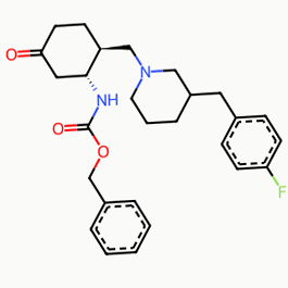 O=C1CC[C@@H](CN2CCCC(Cc3ccc(F)cc3)C2)[C@H](NC(=O)OCc2ccccc2)C1